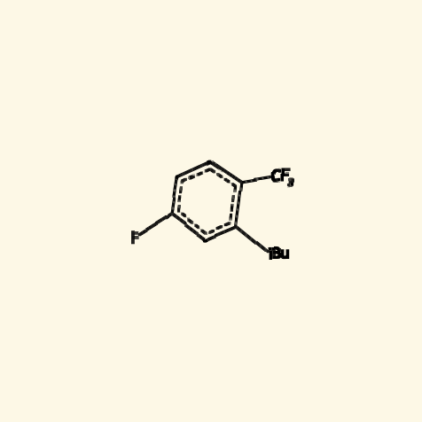 CCC(C)c1cc(F)ccc1C(F)(F)F